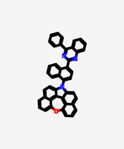 c1ccc(-c2nc(-c3ccc(-n4c5ccc6cccc7oc8cccc9ccc4c(c98)c5c67)c4ccccc34)nc3ccccc23)cc1